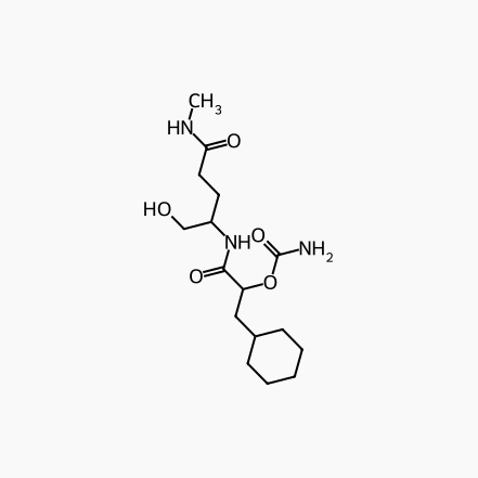 CNC(=O)CCC(CO)NC(=O)C(CC1CCCCC1)OC(N)=O